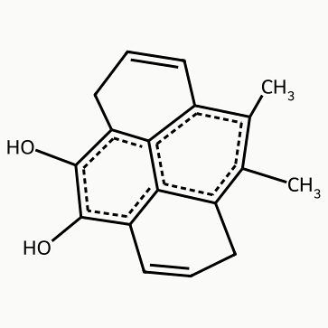 Cc1c(C)c2c3c(c(O)c(O)c4c3c1C=CC4)C=CC2